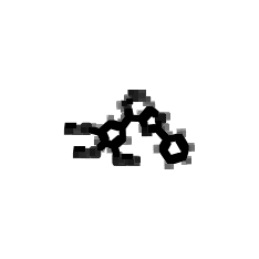 COc1cc(/C(=N/N)c2coc(-c3ccccc3)n2)cc(OC)c1OC